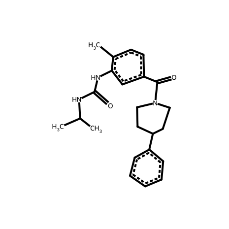 Cc1ccc(C(=O)N2CCC(c3ccccc3)CC2)cc1NC(=O)NC(C)C